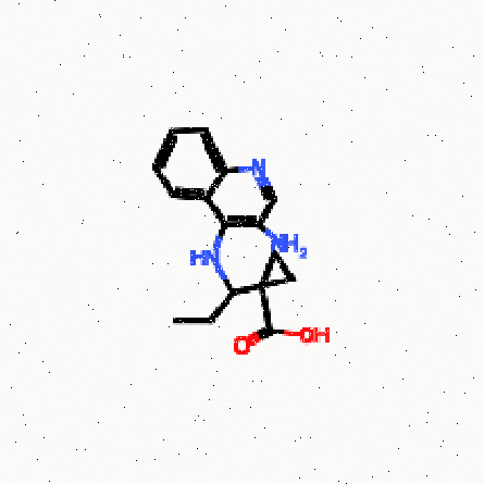 CCC(Nc1c(N)cnc2ccccc12)C1(C(=O)O)CC1